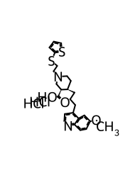 COc1ccc2nccc(CCC[C@@H]3CCN(CCSc4cccs4)C[C@@H]3C(=O)O)c2c1.Cl.Cl